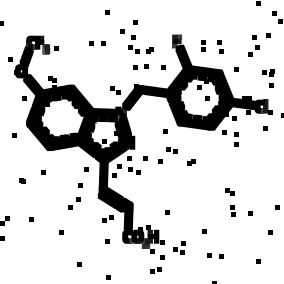 O=C(O)C=Cc1nn(Cc2ccc(Cl)cc2F)c2cc(OC(F)(F)F)ccc12